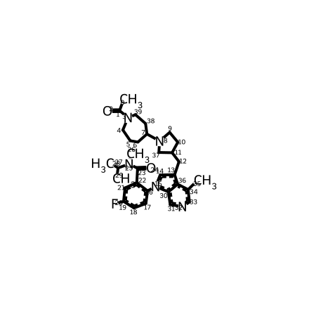 CC(=O)N1CCCC(N2CCC(Cc3cn(-c4ccc(F)cc4C(=O)N(C)C(C)C)c4cncc(C)c34)C2)CC1